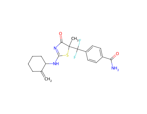 C=C1CCCCC1NC1=NC(=O)C(C)(C(F)(F)c2ccc(C(N)=O)cc2)S1